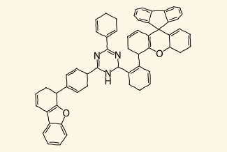 C1=CCC2OC3=C(C=CCC3C3=C(C4N=C(C5=CCCC=C5)N=C(C5C=CC(C6CC=Cc7c6oc6ccccc76)=CC5)N4)CCC=C3)C3(C2=C1)c1ccccc1-c1ccccc13